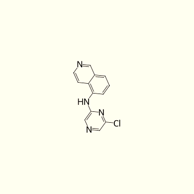 Clc1cncc(Nc2cccc3cnccc23)n1